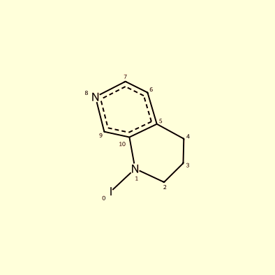 IN1CCCc2ccncc21